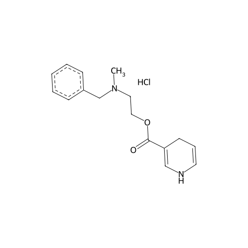 CN(CCOC(=O)C1=CNC=CC1)Cc1ccccc1.Cl